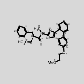 COCCOc1ccc(-c2ccccc2-c2csc(N(C)C(=O)[C@@H](CC(=O)O)Cc3ccccc3)n2)cn1